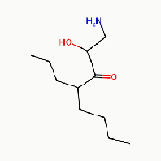 CCCCC(CCC)C(=O)C(O)CN